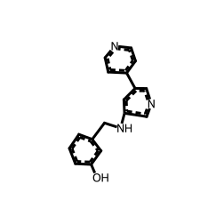 Oc1cccc(CNc2cncc(-c3ccncc3)c2)c1